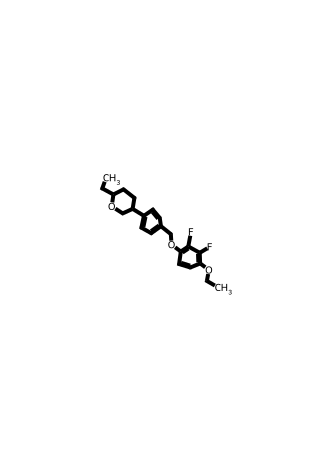 CCOc1ccc(OCc2ccc(C3CCC(CC)OC3)cc2)c(F)c1F